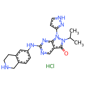 CC(C)n1c(=O)c2cnc(Nc3ccc4c(c3)CCNC4)nc2n1-c1cc[nH]n1.Cl